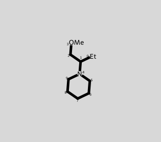 CCC(COC)N1CCCCC1